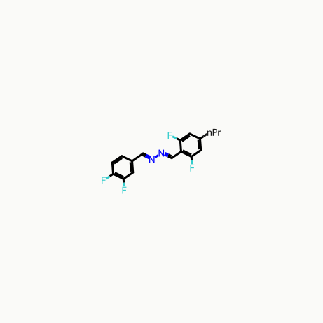 CCCc1cc(F)c(C=NN=Cc2ccc(F)c(F)c2)c(F)c1